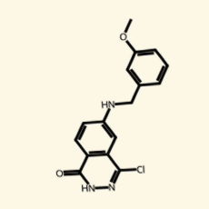 COc1cccc(CNc2ccc3c(=O)[nH]nc(Cl)c3c2)c1